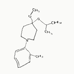 COC1(OC(C)C)CCN(c2ccccc2C)CC1